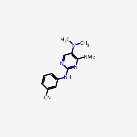 CNc1nc(Nc2cccc(C#N)c2)ncc1N(C)C